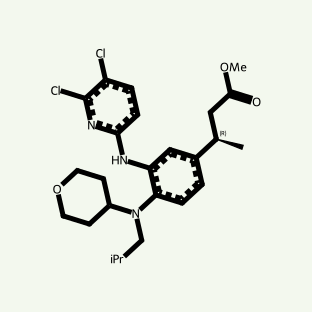 COC(=O)C[C@@H](C)c1ccc(N(CC(C)C)C2CCOCC2)c(Nc2ccc(Cl)c(Cl)n2)c1